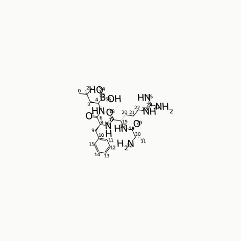 CC(C)C[C@H](NC(=O)[C@H](Cc1ccccc1)NC(=O)[C@H](CCCNC(=N)N)NC(=O)[C@H](C)N)B(O)O